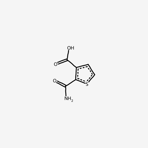 NC(=O)c1sccc1C(=O)O